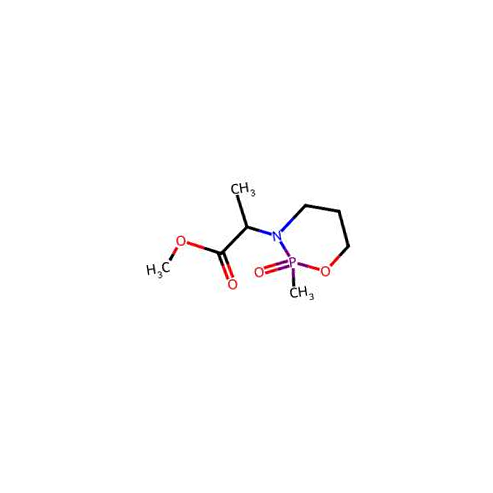 COC(=O)C(C)N1CCCOP1(C)=O